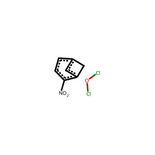 ClOCl.O=[N+]([O-])c1ccc2cc1C2